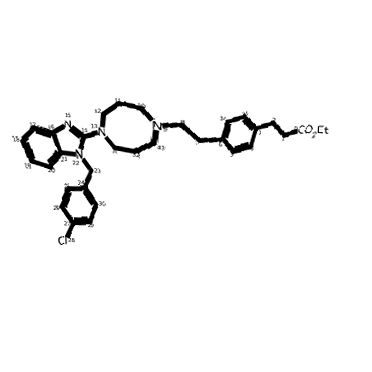 CCOC(=O)CCc1ccc(CCN2CCCN(c3nc4ccccc4n3Cc3ccc(Cl)cc3)CCC2)cc1